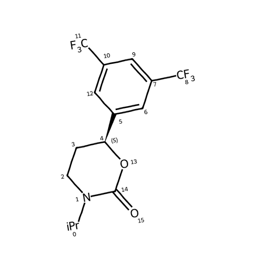 CC(C)N1CC[C@@H](c2cc(C(F)(F)F)cc(C(F)(F)F)c2)OC1=O